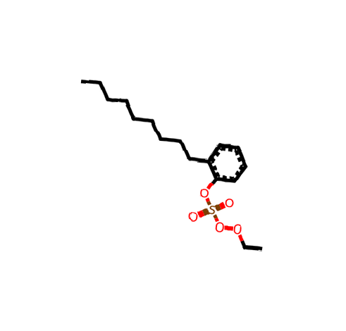 CCCCCCCCCc1ccccc1OS(=O)(=O)OOCC